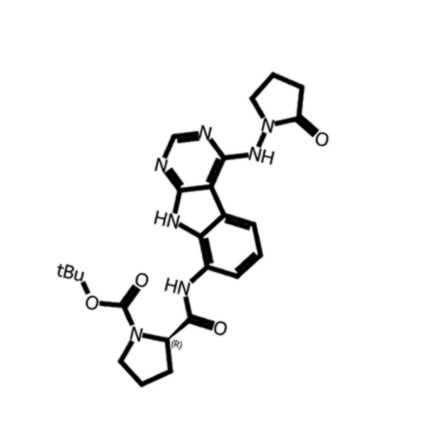 CC(C)(C)OC(=O)N1CCC[C@@H]1C(=O)Nc1cccc2c1[nH]c1ncnc(NN3CCCC3=O)c12